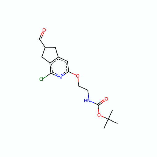 CC(C)(C)OC(=O)NCCOc1cc2c(c(Cl)n1)CC(C=O)C2